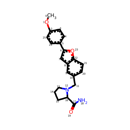 COc1ccc(-c2cc3cc(CN4CCCC4C(N)=O)ccc3o2)cc1